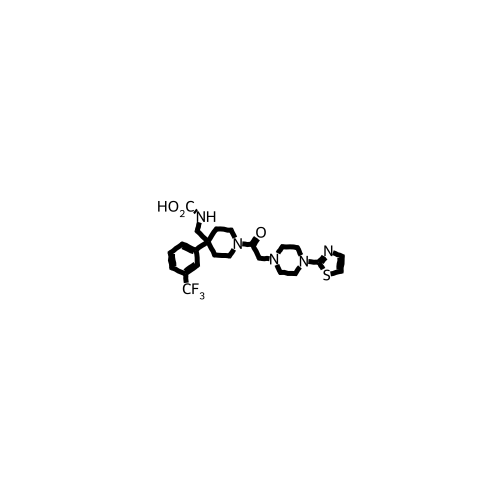 O=C(O)NCC1(c2cccc(C(F)(F)F)c2)CCN(C(=O)CN2CCN(c3nccs3)CC2)CC1